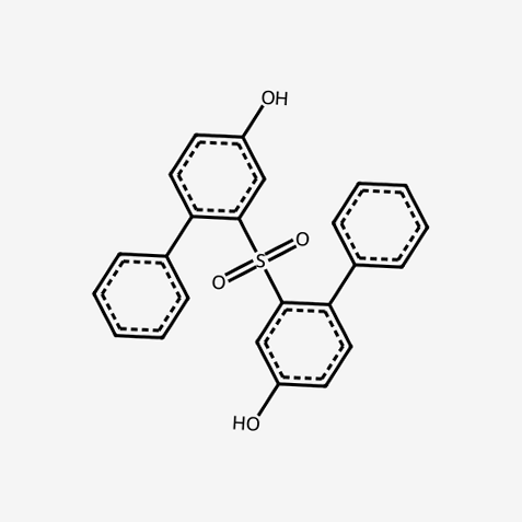 O=S(=O)(c1cc(O)ccc1-c1ccccc1)c1cc(O)ccc1-c1ccccc1